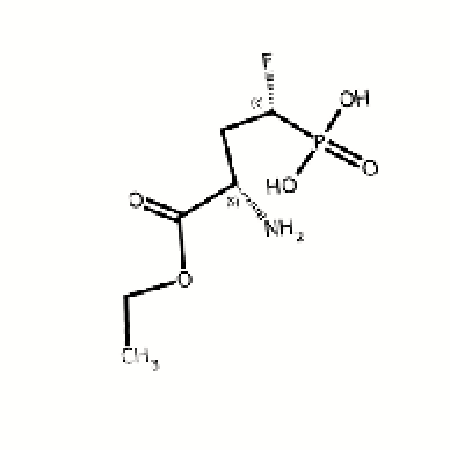 CCOC(=O)[C@@H](N)C[C@H](F)P(=O)(O)O